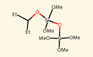 CCC(CC)O[Si](OC)(OC)O[Si](OC)(OC)OC